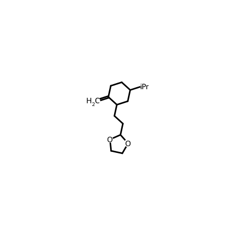 C=C1CCC(C(C)C)CC1CCC1OCCO1